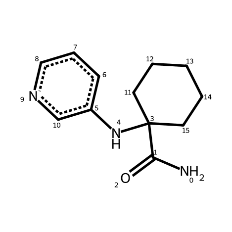 NC(=O)C1(Nc2cccnc2)CCCCC1